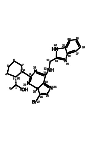 CC(O)[C@@H]1CCCCN1c1nc(NCc2nc3ccccc3[nH]2)c2ncc(Br)n2n1